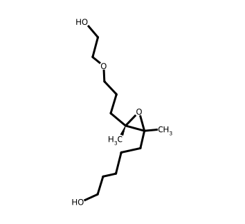 CC1(CCCCCO)O[C@@]1(C)CCCOCCO